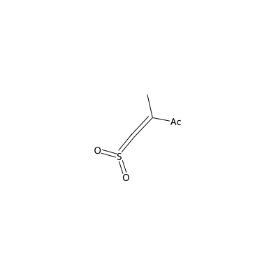 CC(=O)C(C)=C=S(=O)=O